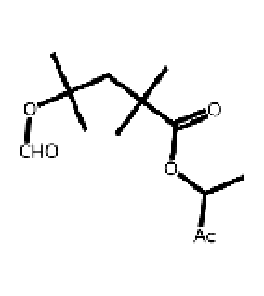 CC(=O)C(C)OC(=O)C(C)(C)CC(C)(C)OC=O